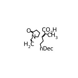 C=CN1CCCC1=O.CCCCCCCCCCCCC=C(C)C(=O)O